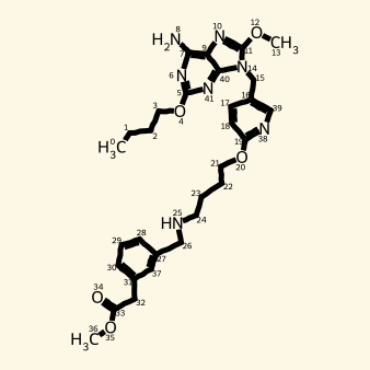 CCCCOc1nc(N)c2nc(OC)n(Cc3ccc(OCCCCNCc4cccc(CC(=O)OC)c4)nc3)c2n1